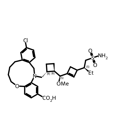 CC[C@H](CS(N)(=O)=O)C1C=C([C@@H](OC)[C@@H]2CC[C@H]2CN2Cc3ccc(Cl)cc3CCCCOc3ccc(C(=O)O)cc32)C1